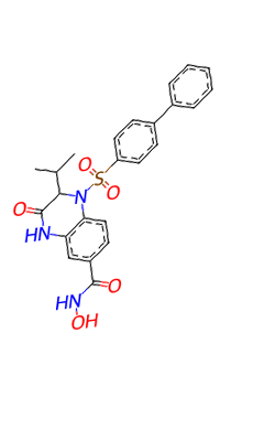 CC(C)C1C(=O)Nc2cc(C(=O)NO)ccc2N1S(=O)(=O)c1ccc(-c2ccccc2)cc1